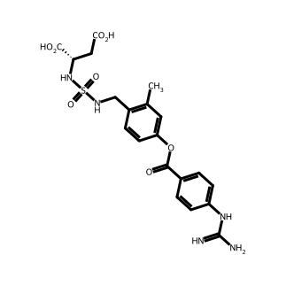 Cc1cc(OC(=O)c2ccc(NC(=N)N)cc2)ccc1CNS(=O)(=O)N[C@@H](CC(=O)O)C(=O)O